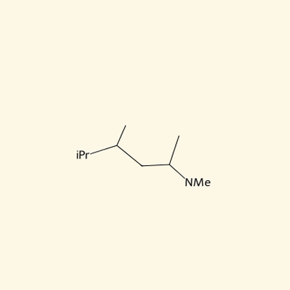 CNC(C)CC(C)C(C)C